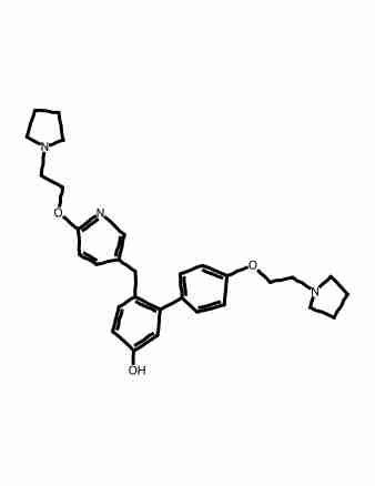 Oc1ccc(Cc2ccc(OCCN3CCCC3)nc2)c(-c2ccc(OCCN3CCCC3)cc2)c1